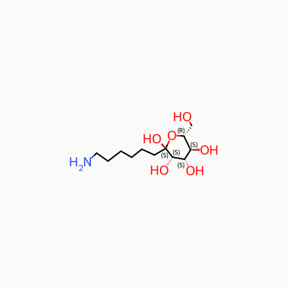 NCCCCCC[C@]1(O)O[C@H](CO)[C@@H](O)[C@H](O)[C@@H]1O